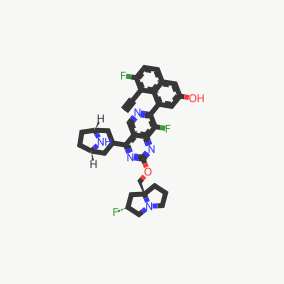 C#Cc1c(F)ccc2cc(O)cc(-c3ncc4c(C5C[C@H]6CC[C@@H](C5)N6)nc(OC[C@@]56CCCN5C[C@H](F)C6)nc4c3F)c12